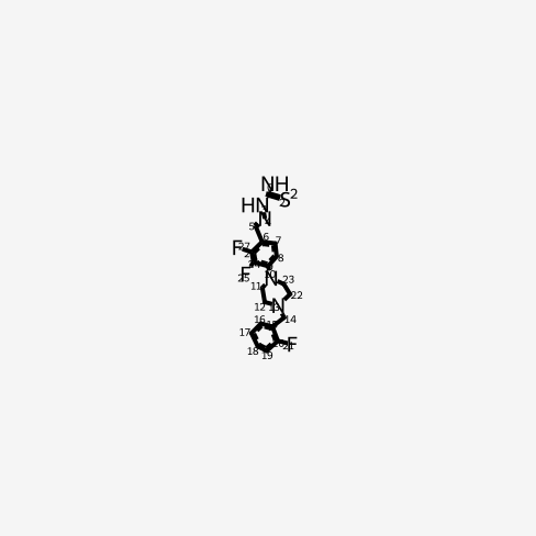 NC(=S)N/N=C/c1ccc(N2CCN(Cc3ccccc3F)CC2)c(F)c1F